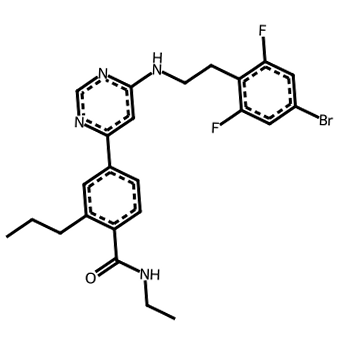 CCCc1cc(-c2cc(NCCc3c(F)cc(Br)cc3F)ncn2)ccc1C(=O)NCC